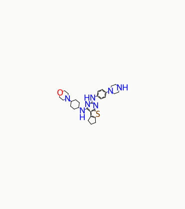 c1cc(N2CCNCC2)ccc1Nc1nc(N[C@H]2CC[C@H](N3CCOCC3)CC2)c2c3c(sc2n1)CCC3